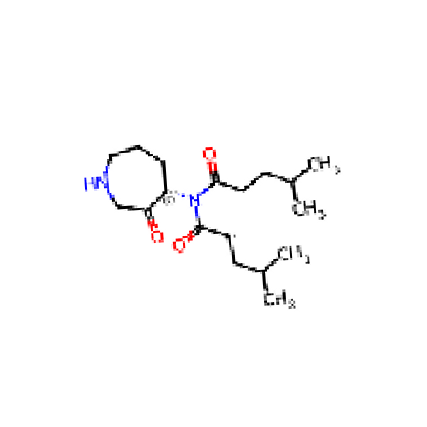 CC(C)C[CH]C(=O)N(C(=O)CCC(C)C)[C@H]1CCCNCC1=O